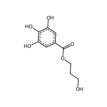 O=C(OCCCO)c1cc(O)c(O)c(O)c1